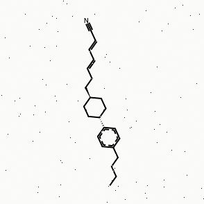 CCCCc1ccc([C@H]2CC[C@H](CCC=CC=CC#N)CC2)cc1